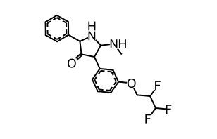 CNC1NC(c2ccccc2)C(=O)C1c1cccc(OCC(F)C(F)F)c1